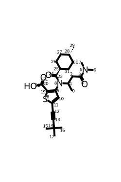 CC(CC(=O)N(C)C)N(c1cc(C#CC(C)(C)C)sc1C(=O)O)C(=O)[C@H]1CC[C@H](C)CC1